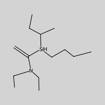 C=C(N(CC)CC)[SiH](CCCC)C(C)CC